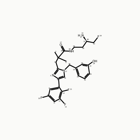 CC(C)([CH]c1nc(-c2cc(F)cc(F)c2F)cn1Cc1cccc(O)c1)C(=O)NCC[C@@H](N)CF